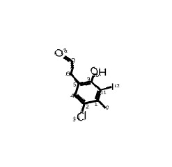 Cc1c(Cl)cc(CC=O)c(O)c1I